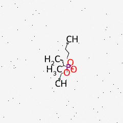 C#CCCCOP(=O)(OCC#C)C(C)C=C